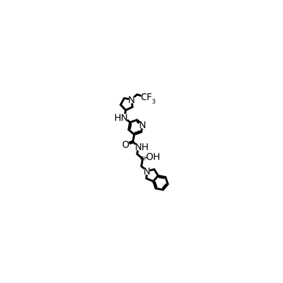 O=C(NC[C@H](O)CN1Cc2ccccc2C1)c1cncc(NC2CCN(CC(F)(F)F)C2)c1